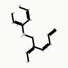 C=C/C=C\C(=C/C)COC(/C=C\C)=C/C